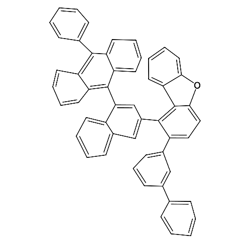 c1ccc(-c2cccc(-c3ccc4oc5ccccc5c4c3-c3cc(-c4c5ccccc5c(-c5ccccc5)c5ccccc45)c4ccccc4c3)c2)cc1